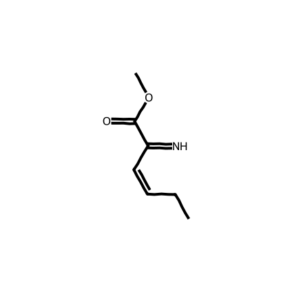 CC/C=C\C(=N)C(=O)OC